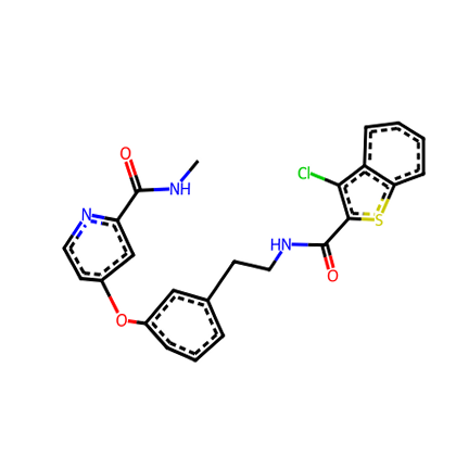 CNC(=O)c1cc(Oc2cccc(CCNC(=O)c3sc4ccccc4c3Cl)c2)ccn1